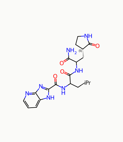 CC(C)CC(NC(=O)c1nc2ncccc2[nH]1)C(=O)NC(C[C@@H]1CCNC1=O)C(N)=O